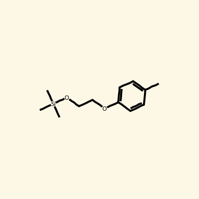 Cc1ccc(OCCO[Si](C)(C)C)cc1